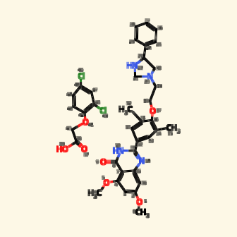 COc1cc(OC)c2c(=O)[nH]c(-c3cc(C)c(OCCN4CNC(c5ccccc5)C4)c(C)c3)nc2c1.O=C(O)COc1ccc(Cl)cc1Cl